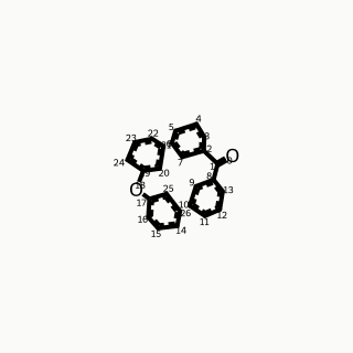 O=C(c1ccccc1)c1ccccc1.c1ccc(Oc2ccccc2)cc1